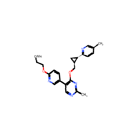 COCCOc1ccc(-c2cnc(C)nc2OC[C@H]2C[C@@H]2c2ccc(C)cn2)cn1